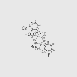 O=C(O)C1(Nc2cccc(Cl)c2)CC(Br)C2(C=Cc3c(F)cccc32)CC1F